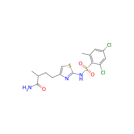 Cc1cc(Cl)cc(Cl)c1S(=O)(=O)Nc1nc(CCC(C)C(N)=O)cs1